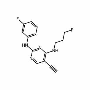 C#Cc1cnc(Nc2cccc(F)c2)nc1NCCCF